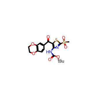 CC(C)(C)OC(=O)Nc1nc(S(C)(=O)=O)sc1C(=O)c1ccc2c(c1)OCCO2